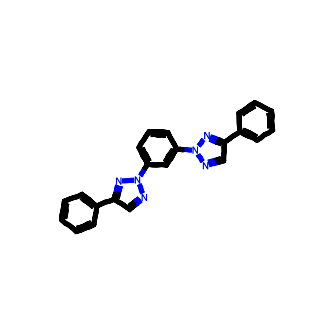 c1ccc(-c2cnn(-c3cccc(-n4ncc(-c5ccccc5)n4)c3)n2)cc1